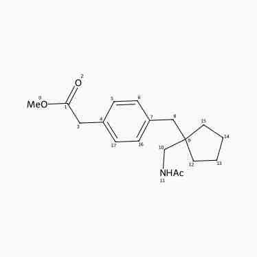 COC(=O)Cc1ccc(CC2(CNC(C)=O)CCCC2)cc1